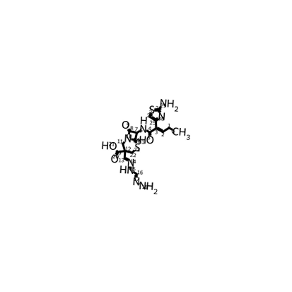 CCC=C(C(=O)NC1C(=O)N2CC(C=NNC=NN)(C(=O)O)CS[C@H]12)c1csc(N)n1